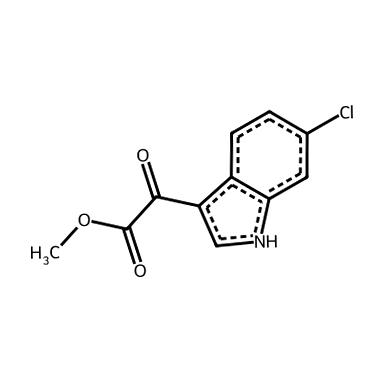 COC(=O)C(=O)c1c[nH]c2cc(Cl)ccc12